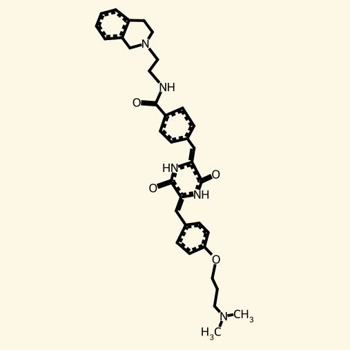 CN(C)CCCOc1ccc(/C=c2\[nH]c(=O)/c(=C/c3ccc(C(=O)NCCN4CCc5ccccc5C4)cc3)[nH]c2=O)cc1